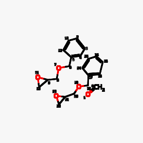 C=O.c1ccc(COCC2CO2)cc1.c1ccc(COCC2CO2)cc1